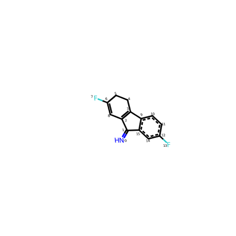 N=C1C2=C(CCC(F)=C2)c2ccc(F)cc21